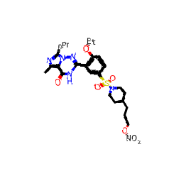 CCCc1nc(C)c2c(=O)[nH]c(-c3cc(S(=O)(=O)N4CCC(CCCO[N+](=O)[O-])CC4)ccc3OCC)nn12